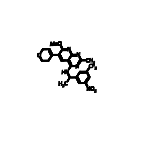 COc1nc2nc(C)nc(N[C@H](C)c3cc([N+](=O)[O-])cc(C(F)(F)F)c3)c2cc1C1=CCOCC1